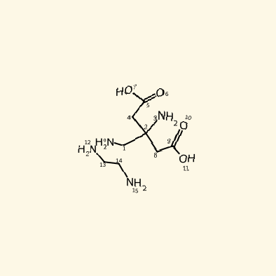 NCC(N)(CC(=O)O)CC(=O)O.NCCN